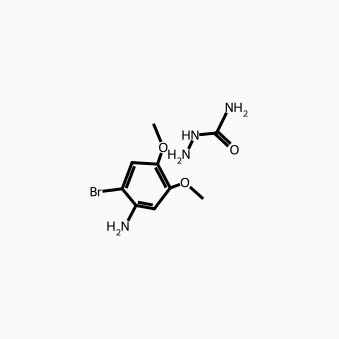 COc1cc(N)c(Br)cc1OC.NNC(N)=O